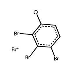 [Br+].[O-]c1ccc(Br)c(Br)c1Br